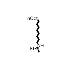 CCCCCCCCCCCCCCCCNN(CC)CC